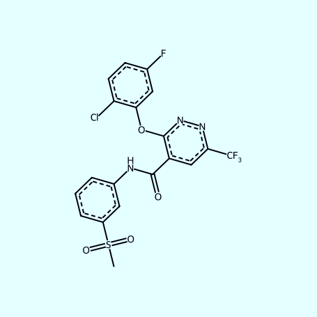 CS(=O)(=O)c1cccc(NC(=O)c2cc(C(F)(F)F)nnc2Oc2cc(F)ccc2Cl)c1